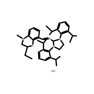 CCC1CN(C)c2cccc(/[CH]=[Ru]/[CH]3N(c4c(C(C)C)cccc4C(C)C)CCN3c3c(C(C)C)cccc3C(C)C)c2O1.Cl